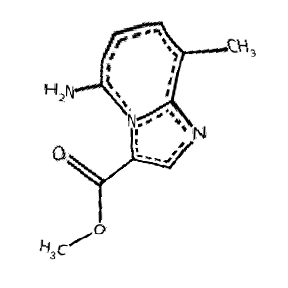 COC(=O)c1cnc2c(C)ccc(N)n12